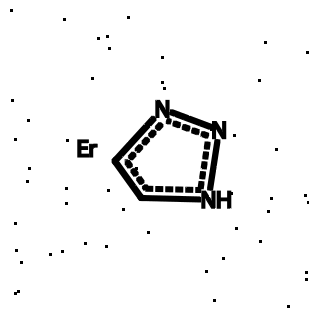 [Er].c1c[nH]nn1